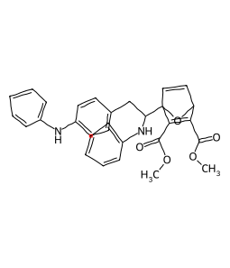 COC(=O)C1=C(C(=O)OC)C2(C(Cc3ccc(Nc4ccccc4)cc3)Nc3ccccc3)C=CC1O2